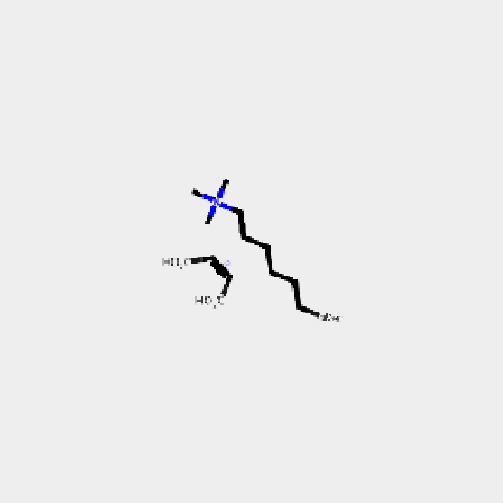 CCCCCCCCCCCCCCCC[N+](C)(C)C.O=C(O)/C=C\C(=O)O